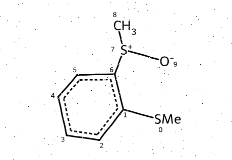 CSc1ccccc1[S+](C)[O-]